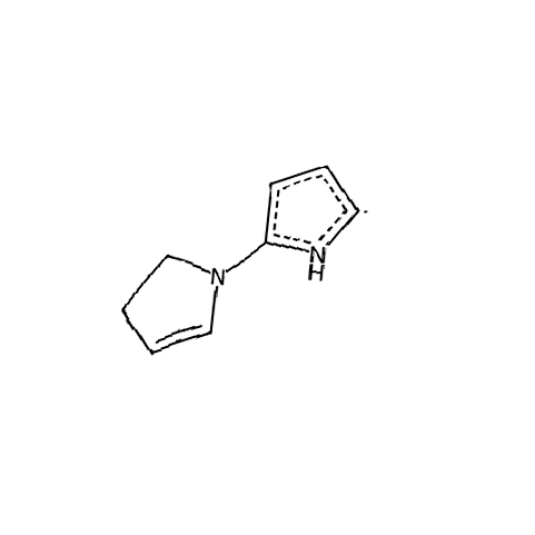 [c]1ccc(N2C=CCC2)[nH]1